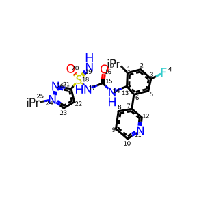 CC(C)c1cc(F)cc(-c2cccnc2)c1NC(=O)NS(=N)(=O)c1ccn(C(C)C)n1